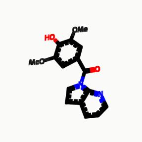 COc1cc(C(=O)n2ccc3cccnc32)cc(OC)c1O